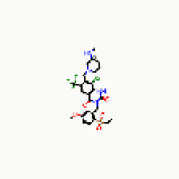 CCS(=O)(=O)c1ccc(OC)cc1Cn1c(=O)[nH]c2c(Br)c(CN3CCC[C@H](NC)C3)c(C(F)(F)F)cc2c1=O